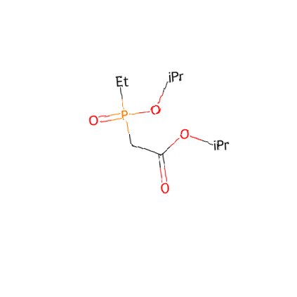 CCP(=O)(CC(=O)OC(C)C)OC(C)C